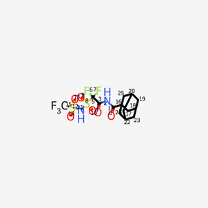 O=C(NC(=O)C(F)(F)S(=O)(=O)NS(=O)(=O)C(F)(F)F)C12CC3CC(CC(C3)C1)C2